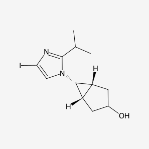 CC(C)c1nc(I)cn1[C@@H]1[C@@H]2CC(O)C[C@@H]21